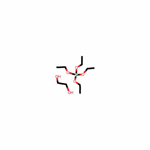 CCO[Si](OCC)(OCC)OCC.OCCO